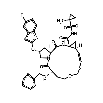 CC1(S(=O)(=O)NC(=O)[C@@]23C[C@H]2/C=C\CCCCC[C@H](NCc2ccccc2)C(=O)N2C[C@H](Oc4nc5ccc(F)cc5s4)C[C@H]2C(=O)N3)CC1